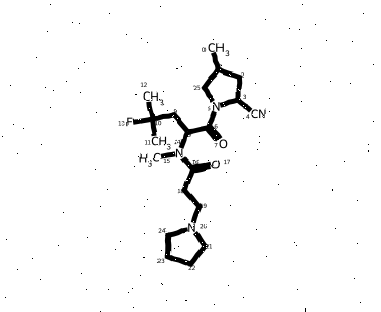 CC1CC(C#N)N(C(=O)C(CC(C)(C)F)N(C)C(=O)CCN2CCCC2)C1